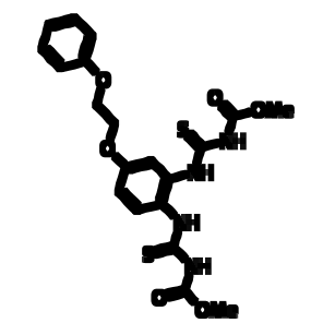 COC(=O)NC(=S)Nc1ccc(OCCOc2ccccc2)cc1NC(=S)NC(=O)OC